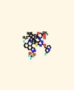 CC(C)[Si](C#Cc1c(F)ccc2cc3c(cnn3S(=O)(=O)C(F)(F)F)c(-c3nccc4c3sc3nc(OC[C@@]56CCCN5C[C@H](F)C6)nc(N5CCOC[C@@](C)(O)C5)c34)c12)(C(C)C)C(C)C